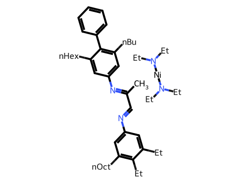 CCCCCCCCc1cc(N=CC(C)=Nc2cc(CCCC)c(-c3ccccc3)c(CCCCCC)c2)cc(CC)c1CC.CC[N](CC)[Ni][N](CC)CC